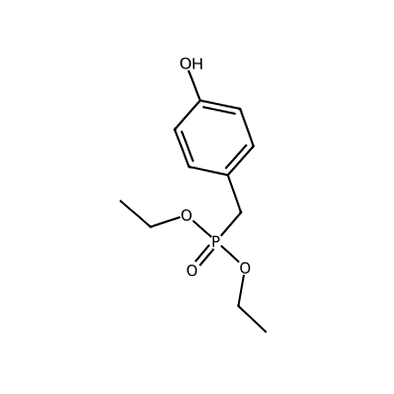 CCOP(=O)(Cc1ccc(O)cc1)OCC